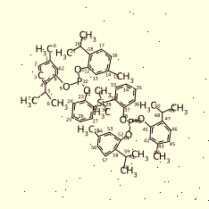 Cc1ccc(C(C)C)c(OP(Oc2cc(C)ccc2C(C)C)Oc2ccccc2[Si](C)(C)c2ccccc2OP(Oc2cc(C)ccc2C(C)C)Oc2cc(C)ccc2C(C)C)c1